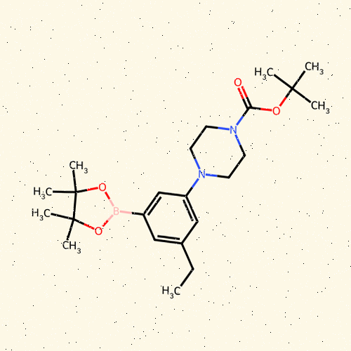 CCc1cc(B2OC(C)(C)C(C)(C)O2)cc(N2CCN(C(=O)OC(C)(C)C)CC2)c1